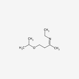 CC/N=C(/C)CCOC(C)C